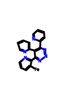 [Fe][c]1cccnc1-c1nnnc(-c2ccccn2)c1-c1ccccn1